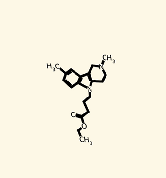 CCOC(=O)CCCn1c2c(c3cc(C)ccc31)CN(C)CC2